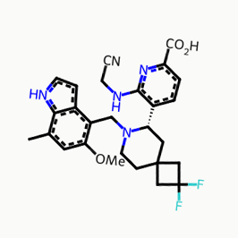 COc1cc(C)c2[nH]ccc2c1CN1CCC2(C[C@H]1c1ccc(C(=O)O)nc1NCC#N)CC(F)(F)C2